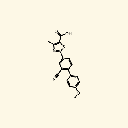 COc1ccc(-c2ccc(-c3nc(C)c(C(=O)O)s3)cc2C#N)cc1